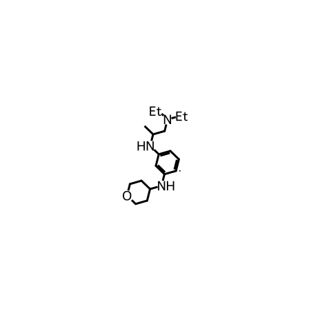 CCN(CC)CC(C)Nc1cc[c]c(NC2CCOCC2)c1